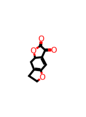 O=C1OC2CC3=C(C=C2C1=O)OCC3